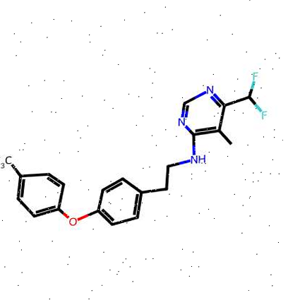 Cc1c(NCCc2ccc(Oc3ccc(C(F)(F)F)cc3)cc2)ncnc1C(F)F